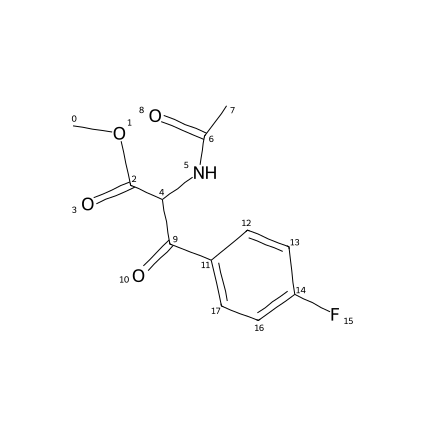 COC(=O)C(NC(C)=O)C(=O)c1ccc(F)cc1